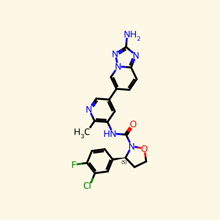 Cc1ncc(-c2ccc3nc(N)nn3c2)cc1NC(=O)N1OCC[C@H]1c1ccc(F)c(Cl)c1